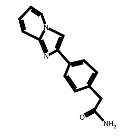 NC(=O)Cc1ccc(-c2cn3ccccc3n2)cc1